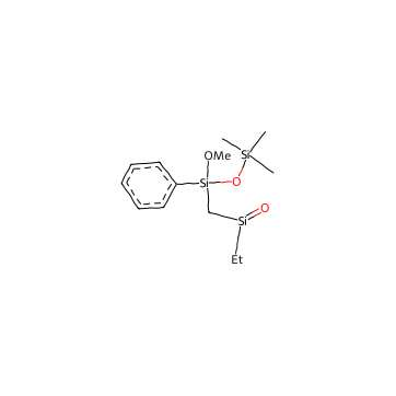 CC[Si](=O)C[Si](OC)(O[Si](C)(C)C)c1ccccc1